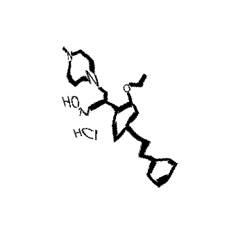 CCOc1cc(CCc2ccccc2)ccc1C(CN1CCN(C)CC1)=NO.Cl